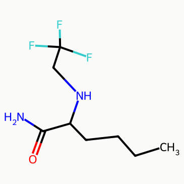 CCCCC(NCC(F)(F)F)C(N)=O